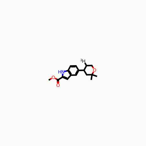 [2H]C1COC(C)(C)CC1c1ccc2[nH]c(C(=O)OC)cc2c1